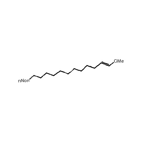 [CH2]OC=CCCCCCCCCCCCCCCCCCCC